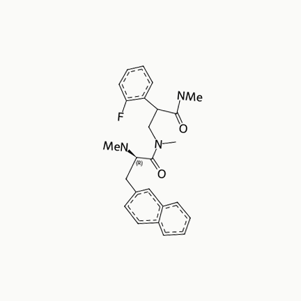 CNC(=O)C(CN(C)C(=O)[C@@H](Cc1ccc2ccccc2c1)NC)c1ccccc1F